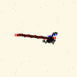 CCCNCCN[Si](C)(O)O[Si](C)(CCCOCCOCCOCCOCCOCCOCCOCCOCCO)O[Si](C)(C)C